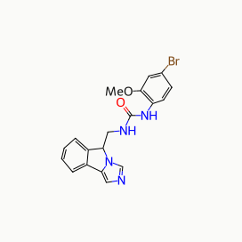 COc1cc(Br)ccc1NC(=O)NCC1c2ccccc2-c2cncn21